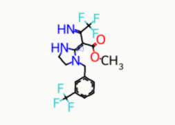 COC(=O)/C(C(=N)C(F)(F)F)=C1/NCCN1Cc1cccc(C(F)(F)F)c1